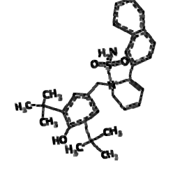 CC(C)(C)c1cc(C[N+]2(S(N)(=O)=O)CC=CC=C2c2ccc3ccccc3c2)cc(C(C)(C)C)c1O